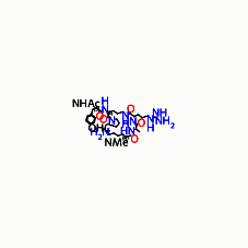 CN[C@H](CCCCN)C(=O)NC(C)C(=O)NC(CCCNC(=N)N)C(=O)NCCC[C@H](NC(=O)[C@H](Cc1ccccc1)NC(C)=O)C(=O)N1CCCC1C=O